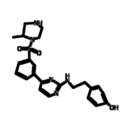 CC1CNCCN1S(=O)(=O)c1cccc(-c2ccnc(NCCc3ccc(O)cc3)n2)c1